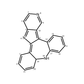 C1=CC2=C3N=c4ccncc4=C3c3ccccc3NC2C=C1